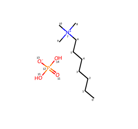 CCCCCCC[N+](C)(C)C.O=P([O-])(O)O